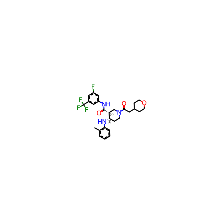 Cc1ccccc1N[C@H]1CCN(C(=O)CC2CCOCC2)C[C@H]1C(=O)Nc1cc(F)cc(C(F)(F)F)c1